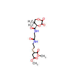 COC(=O)CC(SCCNC(=O)CCNC(=O)[C@@H]1OC(=O)C(=O)OCC1(C)C)C(=O)OC